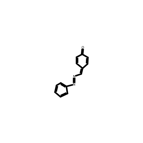 O=C1C=CC(=CN=Nc2ccccc2)C=C1